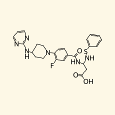 O=C(O)CC(NSc1ccccc1)NC(=O)c1ccc(N2CCC(Nc3ncccn3)CC2)c(F)c1